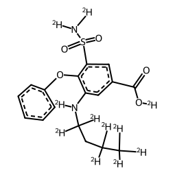 [2H]OC(=O)c1cc(N([2H])C([2H])([2H])CC([2H])([2H])C([2H])([2H])[2H])c(Oc2ccccc2)c(S(=O)(=O)N([2H])[2H])c1